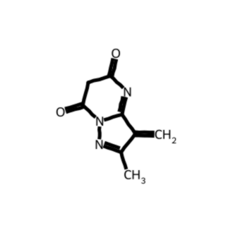 C=c1c(C)nn2c1=NC(=O)CC2=O